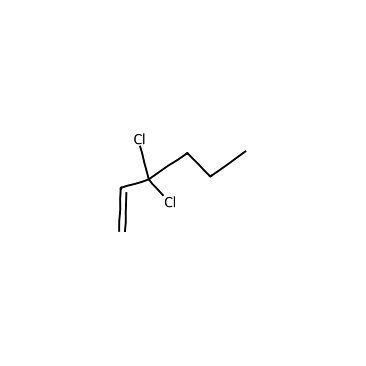 C=CC(Cl)(Cl)CCC